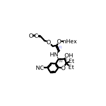 CCCCCCO/C(=C/N[C@H]1c2cc(C#N)ccc2OC(CC)(CC)[C@@H]1O)COCC=C=O